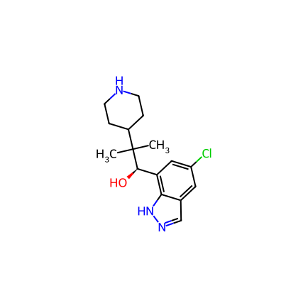 CC(C)(C1CCNCC1)[C@H](O)c1cc(Cl)cc2cn[nH]c12